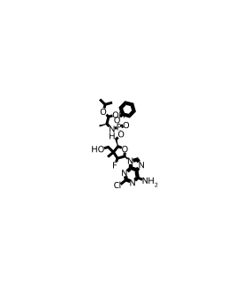 CC(C)OC(O)[C@H](C)NP(=O)(OC[C@H]1O[C@@H](n2cnc3c(N)nc(Cl)nc32)C(F)C1(C)CO)Oc1ccccc1